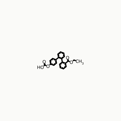 CCOC(=O)c1ccccc1-c1ccccc1-c1ccc(OC(=O)O)cc1